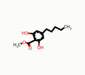 CCCCCc1cc(O)c(C(=O)OC)c(O)c1